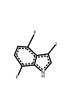 Fc1ccc(F)c2c(I)c[nH]c12